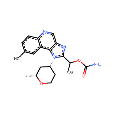 C[C@@H]1C[C@H](n2c(C(OC(N)=O)C(C)(C)C)nc3cnc4ccc(C#N)cc4c32)CCO1